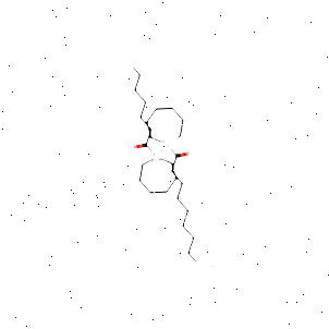 CCCCCCCCCCCCCCCCCC(=O)[N+]1([N+]2(C(=O)CCCCCCCCCCCCCCC)CCCCCC2)CCCCCC1